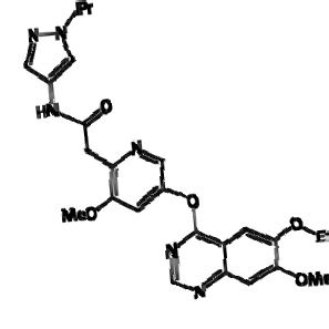 CCOc1cc2c(Oc3cnc(CC(=O)Nc4cnn(C(C)C)c4)c(OC)c3)ncnc2cc1OC